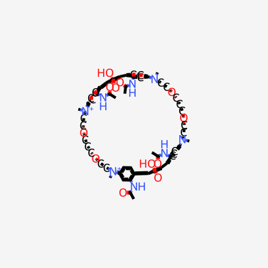 CC(=O)Nc1cc2ccc1C1=C(O)/C(=c3\cc/c(cc3NC(C)=O)=[N+](/C)CCOCCCOCC/[N+](C)=c3\cc/c(c(NC(C)=O)c3)=C3/C(=O)C(=C3O)c3ccc(cc3NC(C)=O)N(C)CCOCCCOCCN2C)C1=O